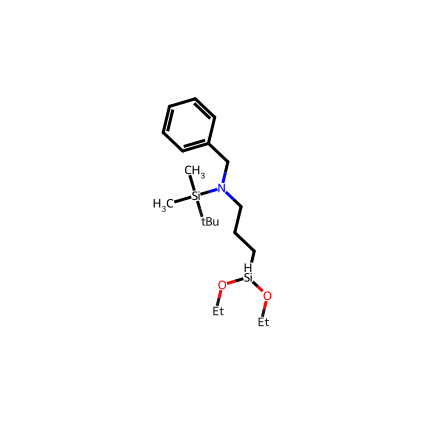 CCO[SiH](CCCN(Cc1ccccc1)[Si](C)(C)C(C)(C)C)OCC